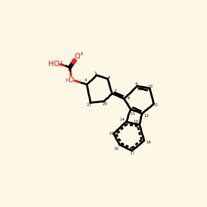 O=C(O)OC1CCC(=C2C=CCC3=C2c2ccccc23)CC1